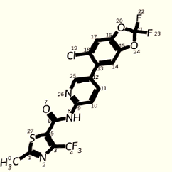 Cc1nc(C(F)(F)F)c(C(=O)Nc2ccc(-c3cc4c(cc3Cl)OC(F)(F)O4)cn2)s1